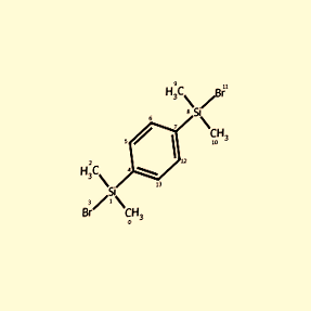 C[Si](C)(Br)c1ccc([Si](C)(C)Br)cc1